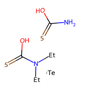 CCN(CC)C(O)=S.NC(O)=S.[Te]